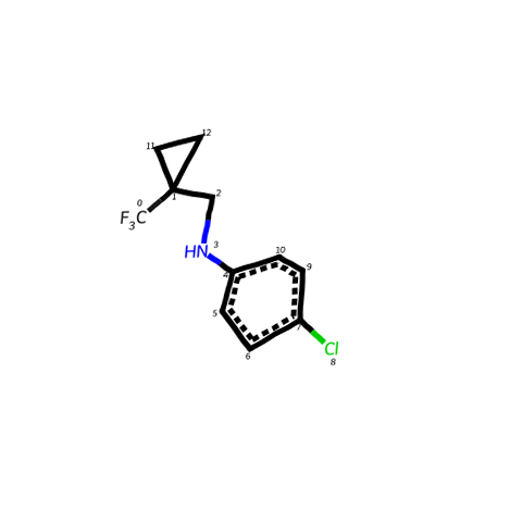 FC(F)(F)C1(CNc2ccc(Cl)cc2)CC1